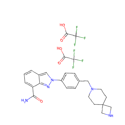 NC(=O)c1cccc2cn(-c3ccc(CN4CCC5(CC4)CNC5)cc3)nc12.O=C(O)C(F)(F)F.O=C(O)C(F)(F)F